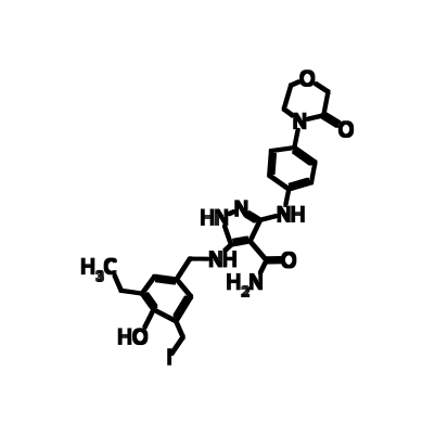 CCc1cc(CNc2[nH]nc(Nc3ccc(N4CCOCC4=O)cc3)c2C(N)=O)cc(CI)c1O